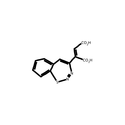 O=C(O)C=C(C(=O)O)C1=Cc2ccccc2SN=N1